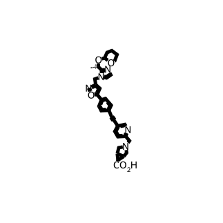 C[C@H](OC1CCCCO1)c1nccn1Cc1cc(-c2ccc(C#Cc3ccc(CN4CC5C(C4)C5C(=O)O)nc3)cc2)on1